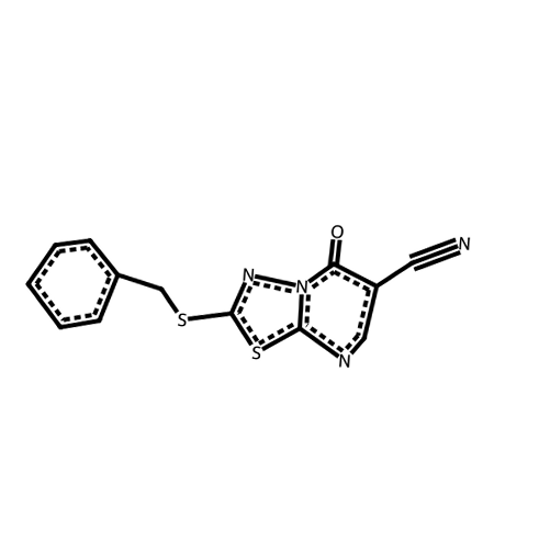 N#Cc1cnc2sc(SCc3ccccc3)nn2c1=O